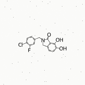 O=C1c2c(ccc(O)c2O)CN1Cc1ccc(Cl)c(F)c1